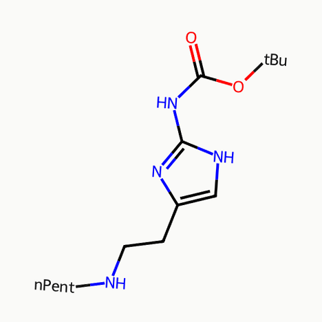 CCCCCNCCc1c[nH]c(NC(=O)OC(C)(C)C)n1